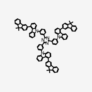 CC1(C)c2ccccc2-c2cc(-c3cccc4c3c3ccccc3n4-c3cccc(-c4nc(-c5cccc(-n6c7ccccc7c7c(-c8ccc9c(c8)-c8ccccc8C9(C)C)cccc76)c5)nc(-c5cccc(-n6c7ccccc7c7c(-c8ccc9c(c8)-c8ccccc8C9(C)C)cccc76)c5)n4)c3)ccc21